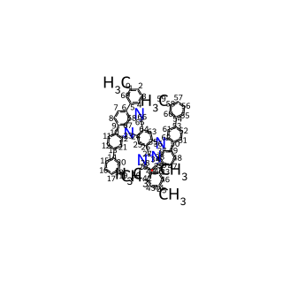 Cc1cccc(-c2ccc3c4ccc(-c5cccc(C)c5)cc4n(-c4cc(-c5nc(C)cc(C)n5)c(-n5c6cc(-c7cccc(C)c7)ccc6c6ccc(-c7cccc(C)c7)cc65)cc4C#N)c3c2)c1